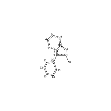 Cc1cn2ccccc2c1-c1ccccc1